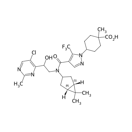 Cc1ncc(Cl)c(C(O)CN(C(=O)c2cnn(C3CCC(C)(C(=O)O)CC3)c2C(F)(F)F)C2C[C@@H]3[C@H](C2)C3(C)C)n1